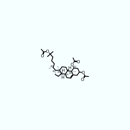 CC(=O)OC1CC2=CC[C@H]3[C@@H]4CC[C@H]([C@H](C)CCCC(C)(C)OC(C)=O)[C@@]4(C)CC[C@@H]3[C@@]2(C)[C@@H](OC(C)=O)C1